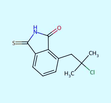 CC(C)(Cl)Cc1cccc2c1C(=O)NC2=S